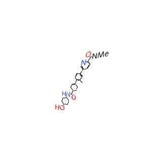 CNC(=O)c1ccc(-c2ccc(C3=CCC(C(=O)N[C@H]4CC[C@@H](O)CC4)CC3)c(C)c2)cn1